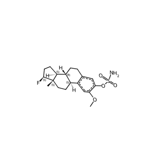 COc1cc2c(cc1OS(N)(=O)=O)CC[C@@H]1[C@@H]2CC[C@]2(C)[C@@H](F)CC[C@@H]12